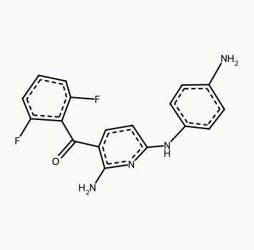 Nc1ccc(Nc2ccc(C(=O)c3c(F)cccc3F)c(N)n2)cc1